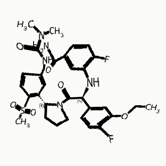 CCOc1cc([C@H](Nc2cc(C(N)=O)ccc2F)C(=O)N2CCC[C@@H]2c2cc(NC(=O)N(C)C)ccc2S(C)(=O)=O)ccc1F